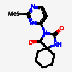 CSc1nccc(N2C(=O)NC3(CCCCC3)C2=O)n1